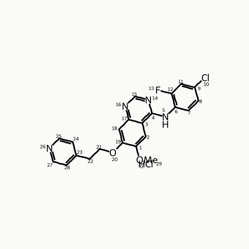 COc1cc2c(Nc3ccc(Cl)cc3F)ncnc2cc1OCCc1ccncc1.Cl